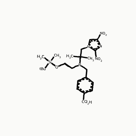 CC(C)(Cn1cc([N+](=O)[O-])nc1[N+](=O)[O-])N(CCO[Si](C)(C)C(C)(C)C)Cc1ccc(C(=O)O)cc1